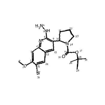 COc1cc2nc(NN)c(C3CCCN3C(=O)OC(C)(C)C)cc2cc1Br